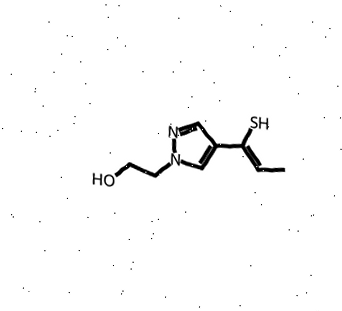 C/C=C(\S)c1cnn(CCO)c1